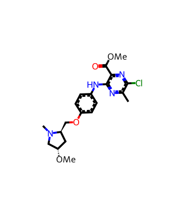 COC(=O)c1nc(Cl)c(C)nc1Nc1ccc(OC[C@H]2C[C@H](OC)CN2C)cc1